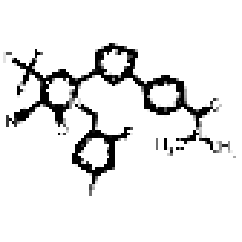 CN(C)C(=O)c1ccc(-c2cccc(-c3cc(C(F)(F)F)c(C#N)c(=O)n3Cc3ccc(F)cc3F)c2)cc1